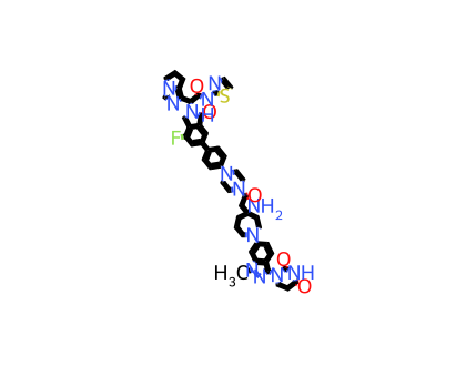 Cn1nc(N2CCC(=O)NC2=O)c2ccc(N3CCCC(N)(CC(=O)N4CCN(c5ccc(-c6cc(F)c7c(c6)C(=O)N(C(C(=O)Nc6nccs6)c6ncn8c6CCC8)C7)cc5)CC4)CC3)cc21